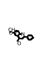 COc1ccc2nc(-c3ccccc3)cc(C=O)c2c1